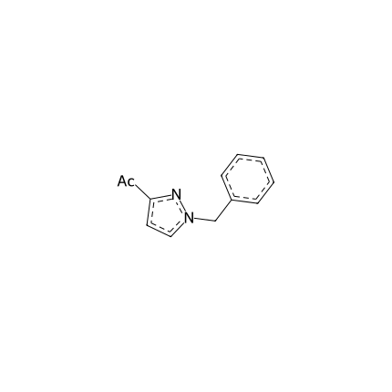 CC(=O)c1ccn(Cc2ccccc2)n1